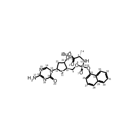 CC(C)COC(=O)[C@H](C)NP(=O)(OC[C@H]1S[C@@H](n2cnc(N)nc2=O)C[C@H]1O)Oc1cccc2ccccc12